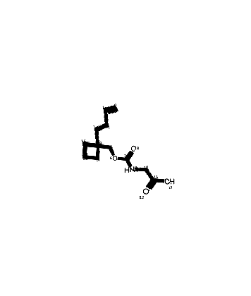 C=CCCC1(COC(=O)NCC(=O)O)CCC1